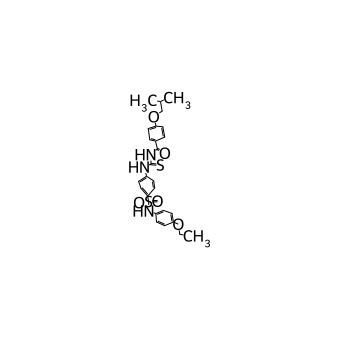 CCOc1ccc(NS(=O)(=O)c2ccc(NC(=S)NC(=O)c3ccc(OCC(C)C)cc3)cc2)cc1